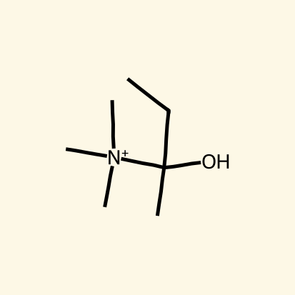 CCC(C)(O)[N+](C)(C)C